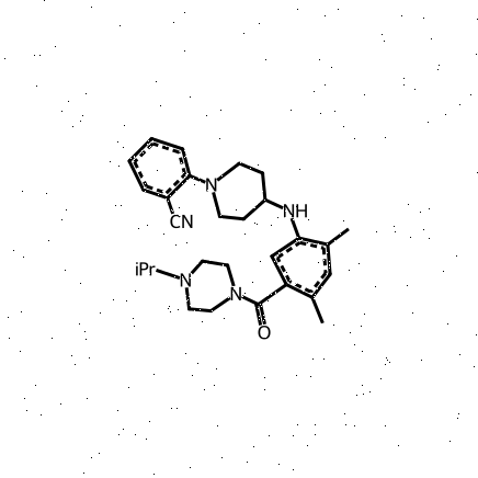 Cc1cc(C)c(C(=O)N2CCN(C(C)C)CC2)cc1NC1CCN(c2ccccc2C#N)CC1